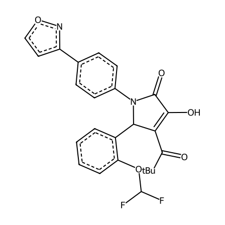 CC(C)(C)C(=O)C1=C(O)C(=O)N(c2ccc(-c3ccon3)cc2)C1c1ccccc1OC(F)F